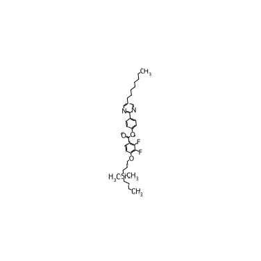 CCCCCCCCc1cnc(-c2ccc(OC(=O)c3ccc(OCCC[Si](C)(C)CCCC)c(F)c3F)cc2)nc1